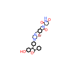 O=C1CCC(N2Cc3cc(CN4CCN(c5ccc([C@@H]6c7ccc(O)cc7OC[C@@H]6c6ccccc6)cc5)CC4)c(Br)cc3C2=O)C(=O)N1